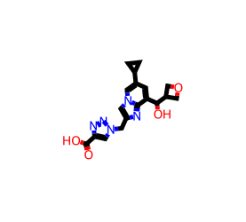 O=C(O)c1cn(Cc2cn3cc(C4CC4)cc(C(O)C4COC4)c3n2)nn1